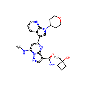 CNc1cc(-c2cn(C3CCOCC3)c3ncccc23)nc2c(C(=O)N[C@@H]3CC[C@@]3(C)O)cnn12